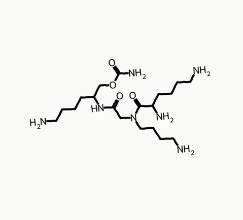 NCCCCC(COC(N)=O)NC(=O)CN(CCCCN)C(=O)C(N)CCCCN